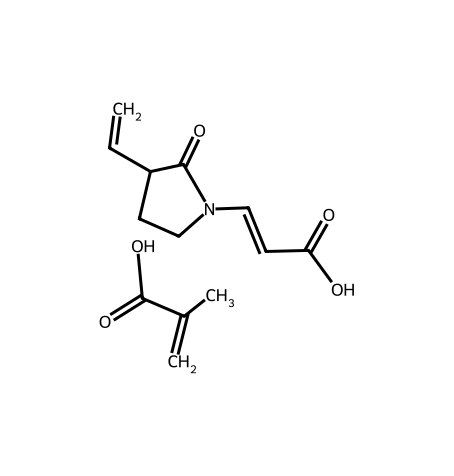 C=C(C)C(=O)O.C=CC1CCN(C=CC(=O)O)C1=O